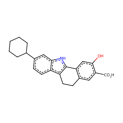 O=C(O)c1cc2c(cc1O)-c1[nH]c3cc(C4CCCCC4)ccc3c1CC2